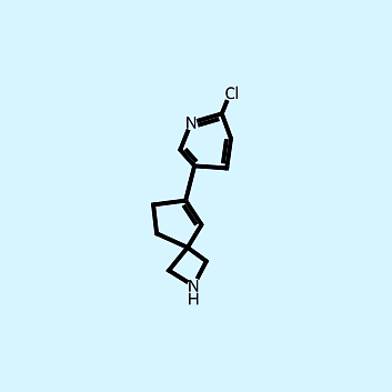 Clc1ccc(C2=CC3(CC2)CNC3)cn1